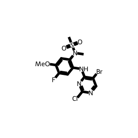 COc1cc(N(C)S(C)(=O)=O)c(Nc2nc(Cl)ncc2Br)cc1F